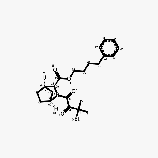 CCC(C)(C)C(=O)C(=O)N1[C@H]2CC[C@H](C2)[C@H]1C(=O)OCCCCc1ccccc1